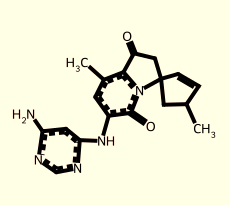 Cc1cc(Nc2cc(N)ncn2)c(=O)n2c1C(=O)CC21C=CC(C)C1